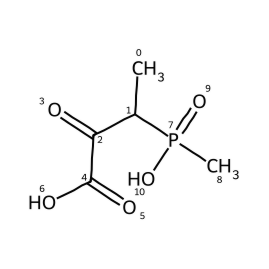 CC(C(=O)C(=O)O)P(C)(=O)O